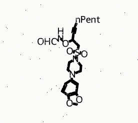 CCCCCC#CC(CS(=O)(=O)N1CCN(c2ccc3c(c2)OCO3)CC1)ONC=O